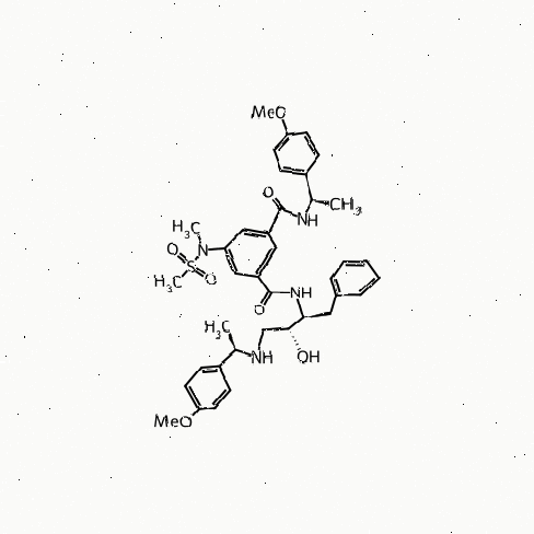 COc1ccc([C@@H](C)NC[C@@H](O)[C@H](Cc2ccccc2)NC(=O)c2cc(C(=O)N[C@H](C)c3ccc(OC)cc3)cc(N(C)S(C)(=O)=O)c2)cc1